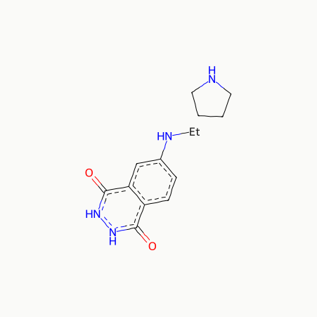 C1CCNC1.CCNc1ccc2c(=O)[nH][nH]c(=O)c2c1